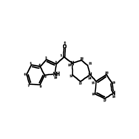 O=C(c1cc2ccccc2[nH]1)N1CCN(c2ccncc2)CC1